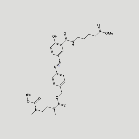 COC(=O)CCCCNC(=O)c1cc(/N=N/c2ccc(COC(=O)N(C)CCN(C)C(=O)OC(C)(C)C)cc2)ccc1O